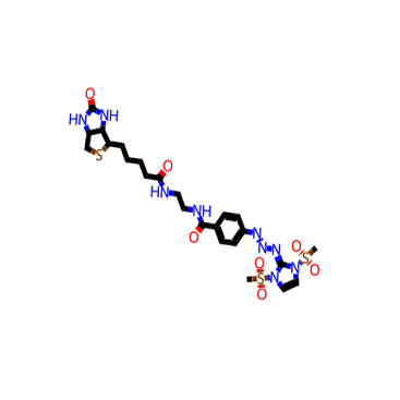 CS(=O)(=O)n1ccn(S(C)(=O)=O)c1=N/N=N/c1ccc(C(=O)NCCNC(=O)CCCCC2SCC3NC(=O)NC32)cc1